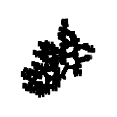 [2H]Oc1c(C(=O)N([2H])CCC([2H])([2H])N2C([2H])([2H])C([2H])([2H])C([2H])([2H])C([2H])([2H])C2([2H])[2H])c(=O)n(C([2H])(C([2H])([2H])[2H])C([2H])([2H])[2H])c2sc(Cl)nc12